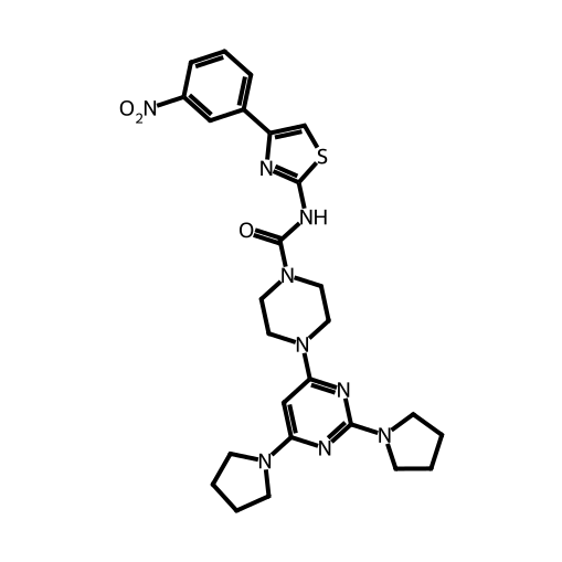 O=C(Nc1nc(-c2cccc([N+](=O)[O-])c2)cs1)N1CCN(c2cc(N3CCCC3)nc(N3CCCC3)n2)CC1